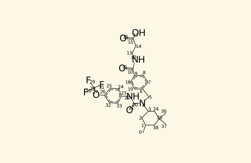 CC1CC(N(Cc2ccc(C(=O)NCCC(=O)O)cc2)C(=O)Nc2ccc(OC(F)(F)F)cc2)CC(C)(C)C1